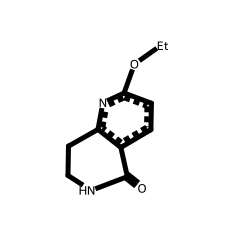 CCOc1ccc2c(n1)CCNC2=O